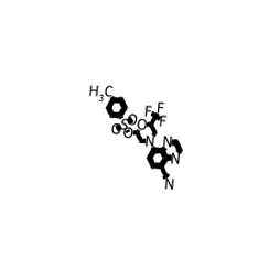 Cc1ccc(S(=O)(=O)OC2CN(c3ccc(C#N)c4nccnc34)CC(C(F)(F)F)O2)cc1